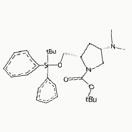 CN(C)[C@H]1C[C@@H](CO[Si](c2ccccc2)(c2ccccc2)C(C)(C)C)N(C(=O)OC(C)(C)C)C1